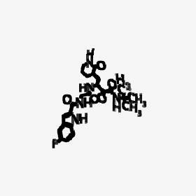 CC(C)(C)NC(=O)C(=O)C(CC1CCCNC1=O)NC(=O)CNC(=O)c1cc2cc(F)ccc2[nH]1